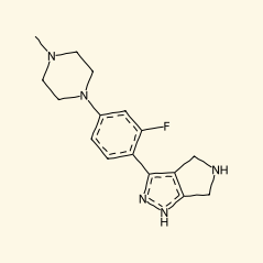 CN1CCN(c2ccc(-c3n[nH]c4c3CNC4)c(F)c2)CC1